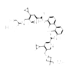 COC1(C)CN(Cc2cnc(C(=O)Nc3cccc(-c4cccc(NC(=O)c5cc(C6CC6)c(CN[C@H](CO)C(=O)O)cn5)c4C)c3C)cc2C2CC2)C1